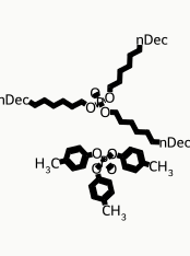 CCCCCCCCCCCCCCCCOP(=O)(OCCCCCCCCCCCCCCCC)OCCCCCCCCCCCCCCCC.Cc1ccc(OP(=O)(Oc2ccc(C)cc2)Oc2ccc(C)cc2)cc1